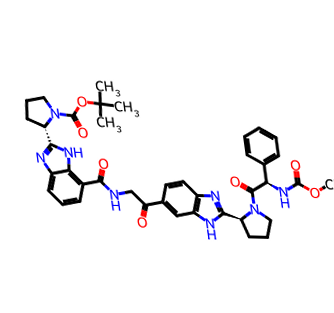 COC(=O)N[C@@H](C(=O)N1CCC[C@H]1c1nc2ccc(C(=O)CNC(=O)c3cccc4nc([C@@H]5CCCN5C(=O)OC(C)(C)C)[nH]c34)cc2[nH]1)c1ccccc1